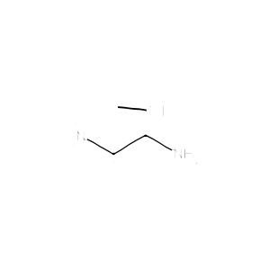 NCCN.[Cl][Pd]